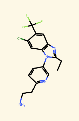 CCc1nc2cc(C(F)(F)F)c(Cl)cc2n1-c1ccc(CCN)nc1